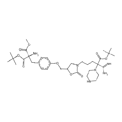 COC(=O)C(N)(Cc1ccc(OCC2CN(CCCC(C(=N)N)(C(=O)OC(C)(C)C)N3CCNCC3)C(=O)O2)cc1)C(=O)OC(C)(C)C